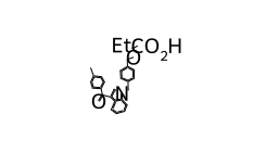 CC[C@@H](OCc1ccc(Cn2cc(C(=O)c3ccc(C)cc3)c3ccccc32)cc1)C(=O)O